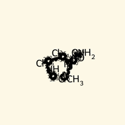 C[C@H]1COCCN1CCCn1nc(-c2ccc(Cl)c(C#Cc3ccc(Cl)c(CNCc4ccccc4)c3)c2)c2c1CCN(C(=O)C(N)=O)C2